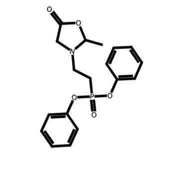 CC1OC(=O)CN1CCP(=O)(Oc1ccccc1)Oc1ccccc1